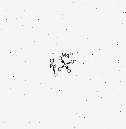 O=S(=O)([O-])[O-].[Cl][Pd][Cl].[Mg+2]